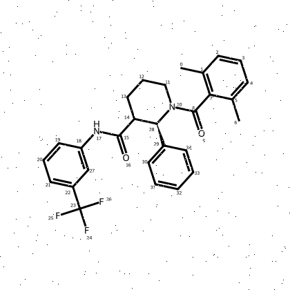 Cc1cccc(C)c1C(=O)N1CCCC(C(=O)Nc2cccc(C(F)(F)F)c2)[C@@H]1c1ccccc1